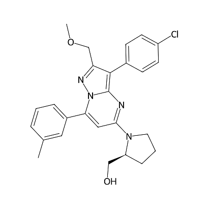 COCc1nn2c(-c3cccc(C)c3)cc(N3CCC[C@H]3CO)nc2c1-c1ccc(Cl)cc1